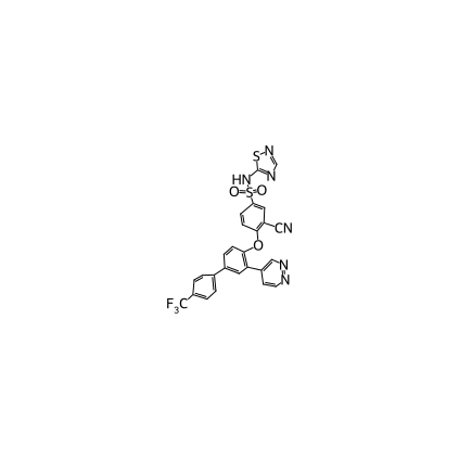 N#Cc1cc(S(=O)(=O)Nc2ncns2)ccc1Oc1ccc(-c2ccc(C(F)(F)F)cc2)cc1-c1ccnnc1